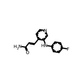 NC(=O)/C=C/c1ccncc1Nc1ccc(F)cc1